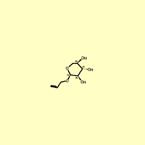 C=CCO[C@H]1OC[C@@H](O)[C@H](O)[C@H]1O